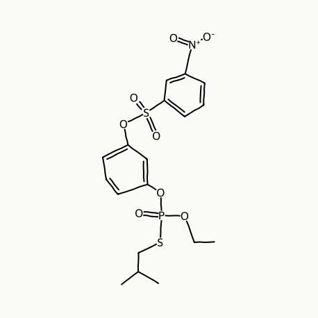 CCOP(=O)(Oc1cccc(OS(=O)(=O)c2cccc([N+](=O)[O-])c2)c1)SCC(C)C